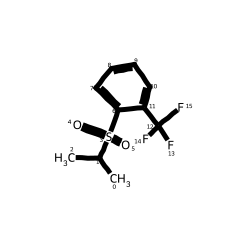 CC(C)S(=O)(=O)c1ccccc1C(F)(F)F